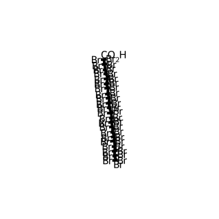 O=C(O)C(Br)(Br)C(Br)(Br)C(Br)(Br)C(Br)(Br)C(Br)(Br)C(Br)(Br)C(Br)(Br)C(Br)(Br)C(Br)(Br)C(Br)(Br)C(Br)(Br)C(Br)(Br)C(Br)(Br)C(Br)(Br)C(Br)(Br)C(Br)(Br)C(Br)(Br)C(Br)(Br)C(Br)(Br)C(Br)(Br)C(Br)(Br)C(Br)(Br)Br